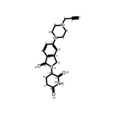 C#CCN1CCN(c2ccc3c(c2)CN(C2CCC(=O)NC2=O)C3=O)CC1